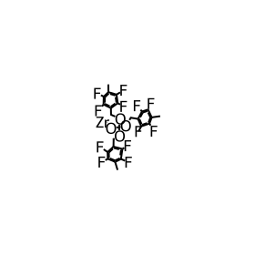 Cc1c(F)c(F)c(COC([O][Zr])(OCc2c(F)c(F)c(C)c(F)c2F)OCc2c(F)c(F)c(C)c(F)c2F)c(F)c1F